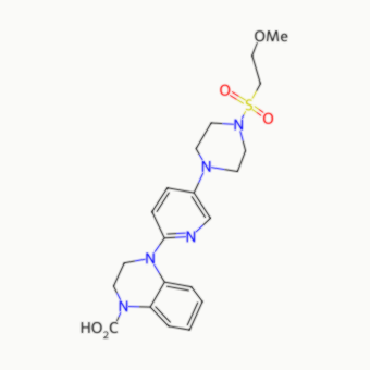 COCCS(=O)(=O)N1CCN(c2ccc(N3CCN(C(=O)O)c4ccccc43)nc2)CC1